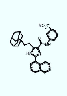 O=C(O)c1cccc(NC(=O)c2nc(-c3cccc4ccccc34)[nH]c2CCC23CC4CC(CC(C4)C2)C3)c1